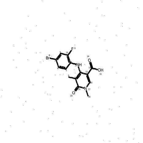 Cc1c(Nc2ccc(Br)cc2F)c(C(=O)O)cn(C)c1=O